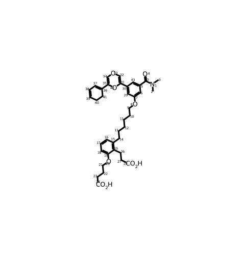 CN(C)C(=O)c1cc(OCCCCCCc2cccc(OCCCC(=O)O)c2CCC(=O)O)cc(C2=COC=C(C3=CC=CCC3)O2)c1